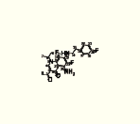 CC(=O)c1cn(C(C)C)c2c(F)c(NCCc3ccc(F)cc3)c(F)c(N)c2c1=O